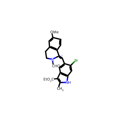 CCOC(=O)c1c(C)[nH]c2cc(Br)c(/C=C3/c4ccc(OC)cc4CCN3C=O)cc12